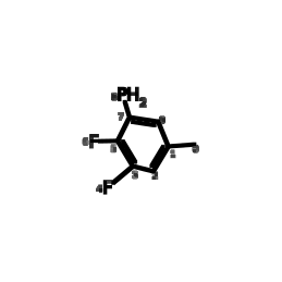 Cc1cc(F)c(F)c(P)c1